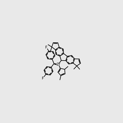 CC1=CC(C)[C]([Zr](=[C](c2ccc(F)cc2)c2ccc(F)cc2)[CH]2c3cc4c(cc3-c3cc5c(cc32)C(C)(C)C=C5)C=CC4(C)C)=C1